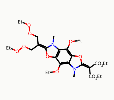 CCOOCC(COOCC)=C1Oc2c(OCC)c3c(c(OCC)c2N1C)OC(=C(C(=O)OCC)C(=O)OCC)N3C